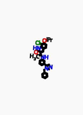 CC(C)Oc1ccc2cc([C@H](C)Nc3cccc(-c4cncn4Cc4ccccc4)c3)c(=O)[nH]c2c1Cl